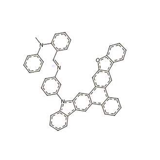 CN(c1ccccc1)c1ccccc1/C=N/c1cccc(-n2c3ccccc3c3cc4c5ccccc5c5cc6c(cc5c4cc32)oc2ccccc26)c1